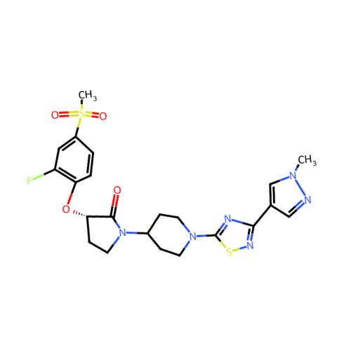 Cn1cc(-c2nsc(N3CCC(N4CC[C@H](Oc5ccc(S(C)(=O)=O)cc5F)C4=O)CC3)n2)cn1